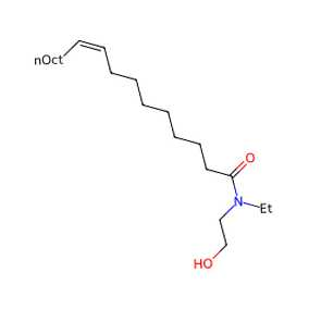 CCCCCCCC/C=C\CCCCCCCC(=O)N(CC)CCO